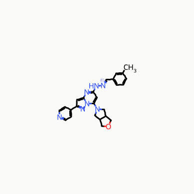 Cc1cccc(/C=N/Nc2cc(N3CC4COCC4C3)n3nc(-c4ccncc4)cc3n2)c1